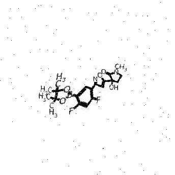 CN1CCC(O)(c2cc(-c3cc(B4OC(C)(C)C(C)(C)O4)c(F)cc3F)no2)C1=O